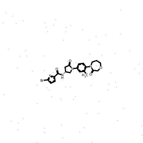 Cc1cc(N2C[C@H](NC(=O)c3ccc(Br)s3)CC2=O)ccc1N1CCCOCC1=O